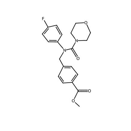 COC(=O)c1ccc(CN(C(=O)N2CCOCC2)c2ccc(F)cc2)cc1